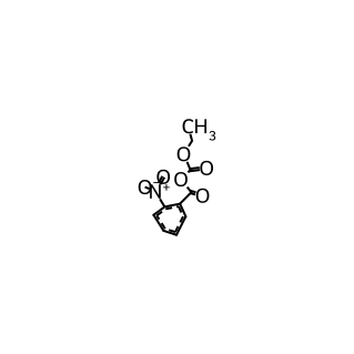 CCOC(=O)OC(=O)c1ccccc1[N+](=O)[O-]